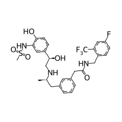 C[C@H](Cc1cccc(CC(=O)NCc2ccc(F)cc2C(F)(F)F)c1)NC[C@H](O)c1ccc(O)c(NS(C)(=O)=O)c1